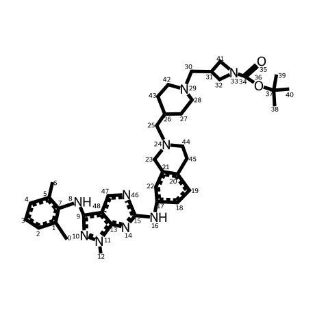 Cc1cccc(C)c1Nc1nn(C)c2nc(Nc3ccc4c(c3)CN(CC3CCN(CC5CN(C(=O)OC(C)(C)C)C5)CC3)CC4)ncc12